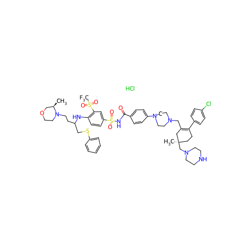 C[C@@H]1COCCN1CCC(CSc1ccccc1)Nc1ccc(S(=O)(=O)NC(=O)c2ccc(N3CCN(CC4=C(c5ccc(Cl)cc5)CC[C@@](C)(CN5CCNCC5)C4)CC3)cc2)cc1S(=O)(=O)C(F)(F)F.Cl